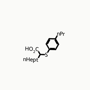 CCCCCCCC(Sc1ccc(CCC)cc1)C(=O)O